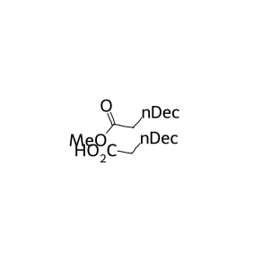 CCCCCCCCCCCC(=O)O.CCCCCCCCCCCC(=O)OC